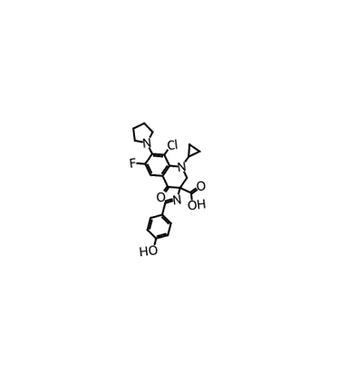 O=C(O)C1(N=Cc2ccc(O)cc2)CN(C2CC2)c2c(cc(F)c(N3CCCC3)c2Cl)C1=O